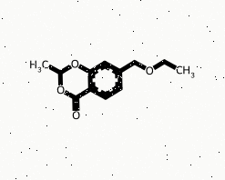 CCOCc1ccc2c(c1)OC(C)OC2=O